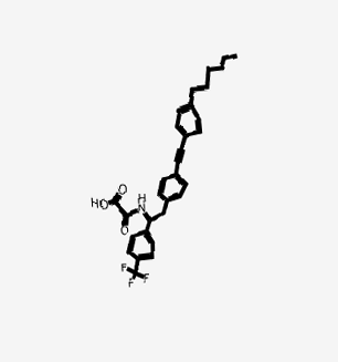 CCCCCCc1ccc(C#Cc2ccc(CC(NC(=O)C(=O)O)c3ccc(C(F)(F)F)cc3)cc2)cc1